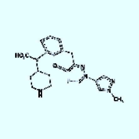 Cn1cc(-n2ccc(=O)c(Cc3cccc(N(C(=O)O)C4CCNCC4)c3)n2)cn1